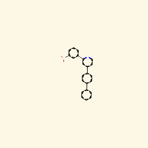 OB(O)c1cccc(-c2cc(-c3ccc(-c4ccccc4)cc3)ccn2)c1